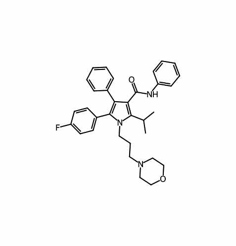 CC(C)c1c(C(=O)Nc2ccccc2)c(-c2ccccc2)c(-c2ccc(F)cc2)n1CCCN1CCOCC1